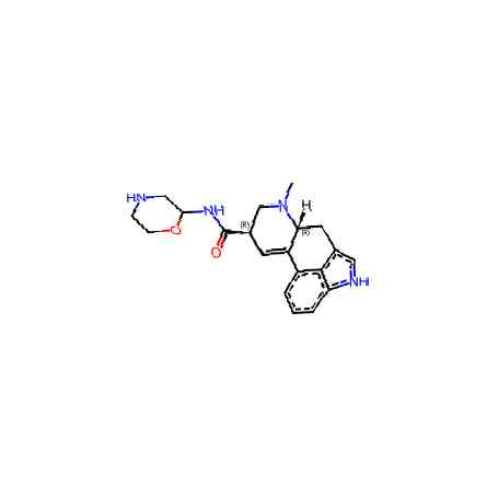 CN1C[C@H](C(=O)NC2CNCCO2)C=C2c3cccc4[nH]cc(c34)C[C@H]21